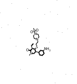 C=Cc1c(SCCN2CCN(S(C)(=O)=O)CC2)c(-c2cccc(N)c2)cn(C)c1=O